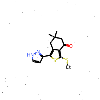 CCSc1sc(-c2cc[nH]n2)c2c1C(=O)CC(C)(C)C2